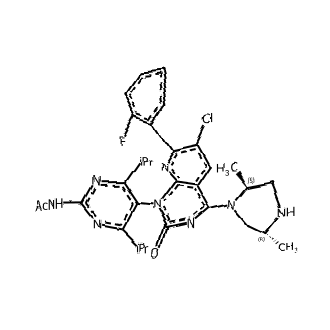 CC(=O)Nc1nc(C(C)C)c(-n2c(=O)nc(N3C[C@@H](C)NC[C@@H]3C)c3cc(Cl)c(-c4ccccc4F)nc32)c(C(C)C)n1